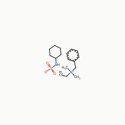 CC[N+](C)(C)Cc1ccccc1.O=S(=O)([O-])NC1CCCCC1